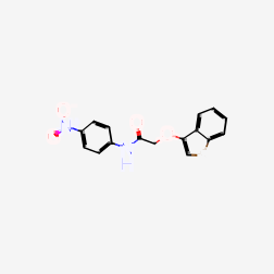 O=C(COc1csc2ccccc12)Nc1ccc([N+](=O)[O-])cc1